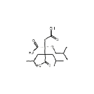 CC(C)COC(CC(=O)O)(C(=O)O)C(CC(C)C)(CC(C)C)C(=O)O